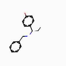 O=C(O)C[C@@H](NCc1ccccc1)c1ccc(O)cc1